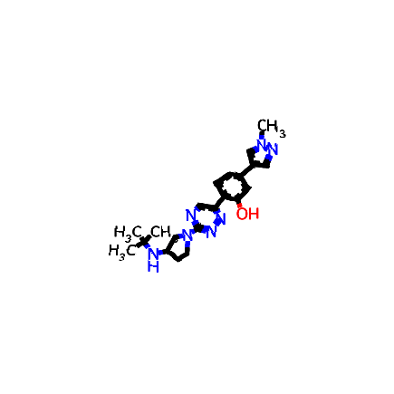 Cn1cc(-c2ccc(-c3cnc(N4CCC(NC(C)(C)C)C4)nn3)c(O)c2)cn1